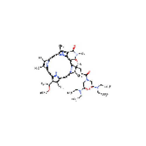 CCCCCCOC(C)c1c(C)c2cc3nc(c4c5[nH]c(cc6nc(cc1[nH]2)C(C)=C6CC)c(C)c5C(=O)N(CCCC)C4=O)C(C)(CCC(=O)N(CC(=O)N(CC(=O)O)CC(=O)O)CC(=O)N(CC(=O)O)CC(=O)O)C3C